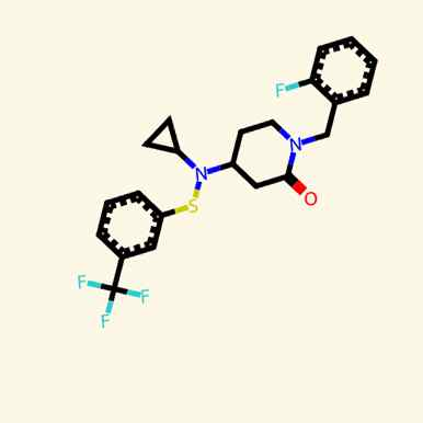 O=C1CC(N(Sc2cccc(C(F)(F)F)c2)C2CC2)CCN1Cc1ccccc1F